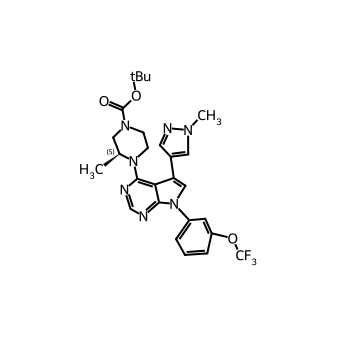 C[C@H]1CN(C(=O)OC(C)(C)C)CCN1c1ncnc2c1c(-c1cnn(C)c1)cn2-c1cccc(OC(F)(F)F)c1